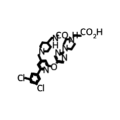 O=C(O)CCN1CCN(c2ncc(Oc3cc(CN4CCC(CNC(=O)O)CC4)cc(-c4cc(Cl)cc(Cl)c4)n3)cn2)CC1